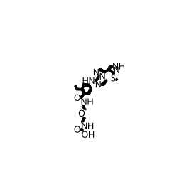 CCc1cc(Nc2nccn3c(-c4c[nH]nc4SC)cnc23)ccc1C(=O)NCCOCCNC(=O)O